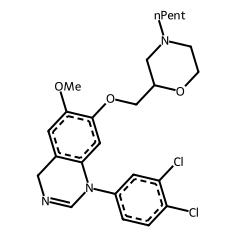 CCCCCN1CCOC(COc2cc3c(cc2OC)CN=CN3c2ccc(Cl)c(Cl)c2)C1